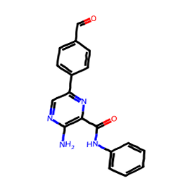 Nc1ncc(-c2ccc(C=O)cc2)nc1C(=O)Nc1ccccc1